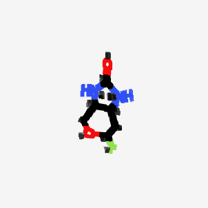 O=C1NC2COC(F)CC2N1